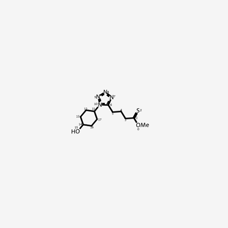 COC(=S)CCCc1nnnn1C1CCC(O)CC1